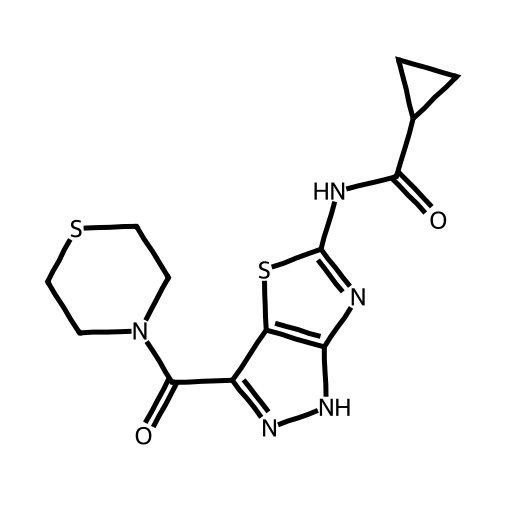 O=C(Nc1nc2[nH]nc(C(=O)N3CCSCC3)c2s1)C1CC1